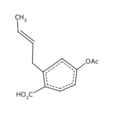 CC=CCc1cc(OC(C)=O)ccc1C(=O)O